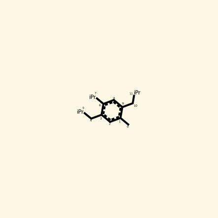 Cc1cc(CC(C)C)c(C(C)C)cc1CC(C)C